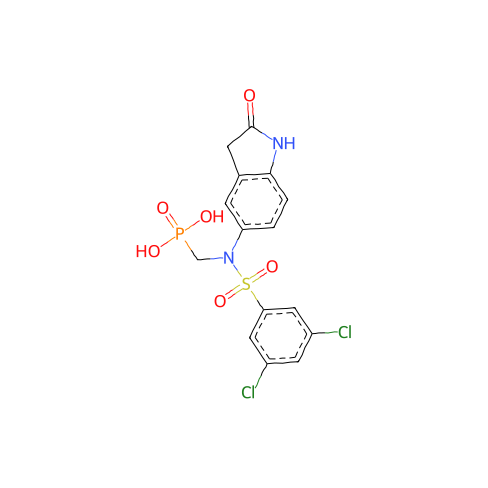 O=C1Cc2cc(N(CP(=O)(O)O)S(=O)(=O)c3cc(Cl)cc(Cl)c3)ccc2N1